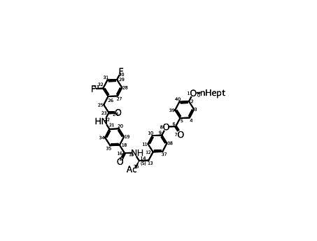 CCCCCCCOc1ccc(C(=O)Oc2ccc(C[C@H](NC(=O)c3ccc(NC(=O)Cc4ccc(F)cc4F)cc3)C(C)=O)cc2)cc1